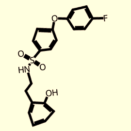 O=S(=O)(NCCc1ccccc1O)c1ccc(Oc2ccc(F)cc2)cc1